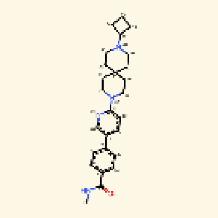 CNC(=O)c1ccc(-c2ccc(N3CCC4(CC3)CCN(C3CCC3)CC4)nc2)cc1